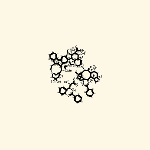 CC(=O)O[C@H]1C(=O)[C@@]2(C)[C@H]([C@H](OC(=O)c3ccccc3)[C@]3(O)C[C@H](OC(=O)[C@H](O)[C@@H](NC(=O)c4ccccc4)c4ccccc4)C(C)=C1C3(C)C)[C@]1(OC(C)=O)CO[C@@H]1C[C@@H]2O.CC[C@]1(O)C[C@H]2C[N@](CCc3c([nH]c4ccccc34)[C@@](C(=O)OC)(c3cc4c(cc3OC)N(C)[C@H]3[C@@](O)(C(N)=O)[C@H](O)[C@]5(CC)C=CCN6CC[C@]43[C@@H]65)C2)C1